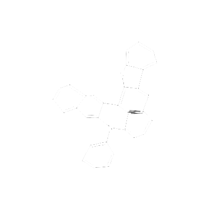 c1ccc(N(c2ccccc2)c2cc3ccccc3cc2-c2cccc3c2sc2ccccc23)cc1